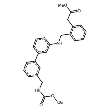 COC(=O)Cc1ccccc1CNc1cccc(-c2cccc(CNC(=O)OC(C)(C)C)c2)c1